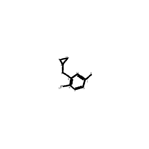 Cc1ccc(F)c(CC2CC2)c1